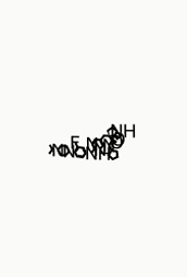 CC(C)N1CCN(c2ccc(Nc3ncc4c(n3)N(C3CCCC3)C(=O)[C@]3(CCNC3=O)C4)cc2F)CC1